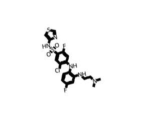 CN(C)CCNc1cc(F)ccc1Nc1cc(F)c(S(=O)(=O)Nc2cscn2)cc1Cl